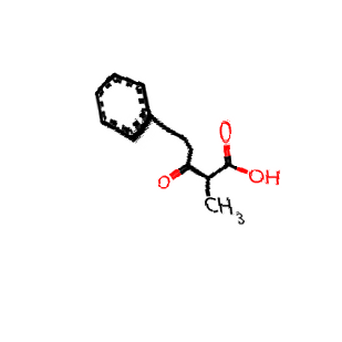 CC(C(=O)O)C(=O)Cc1ccccc1